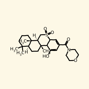 CC1(C)CCC[C@]2(C)[C@H]3CS(=O)(=O)C4C=C(C(=O)N5CCOCC5)C=C(O)C4[C@]3(C)CC[C@@H]12